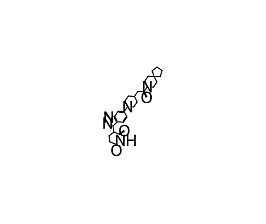 Cn1nc(C2CCC(=O)NC2=O)c2ccc(N3CCC(CC(=O)N4CCC5(CCCC5)CC4)CC3)cc21